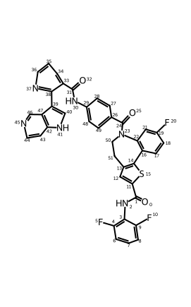 O=C(Nc1c(F)cccc1F)c1cc2c(s1)-c1ccc(F)cc1N(C(=O)c1ccc(NC(=O)c3cccnc3-c3c[nH]c4ccncc34)cc1)CC2